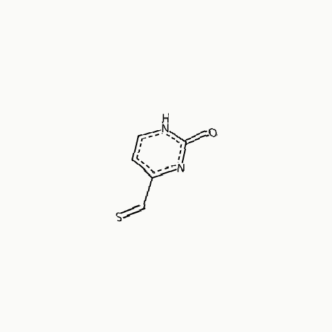 O=c1nc(C=S)cc[nH]1